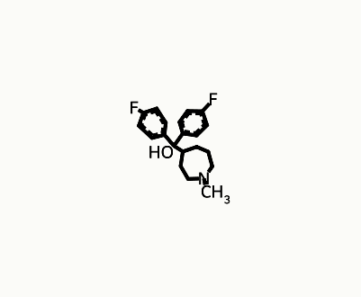 CN1CCCC(C(O)(c2ccc(F)cc2)c2ccc(F)cc2)CC1